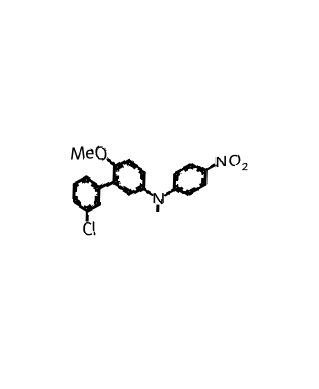 COc1ccc(N(C)c2ccc([N+](=O)[O-])cc2)cc1-c1cccc(Cl)c1